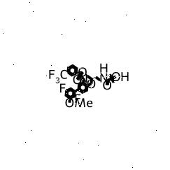 COc1cc(F)cc(-c2ccc3c(c2)N(S(=O)(=O)c2cccc(C(F)(F)F)c2)C[C@H](CCNC(=O)C(C)(C)O)O3)c1F